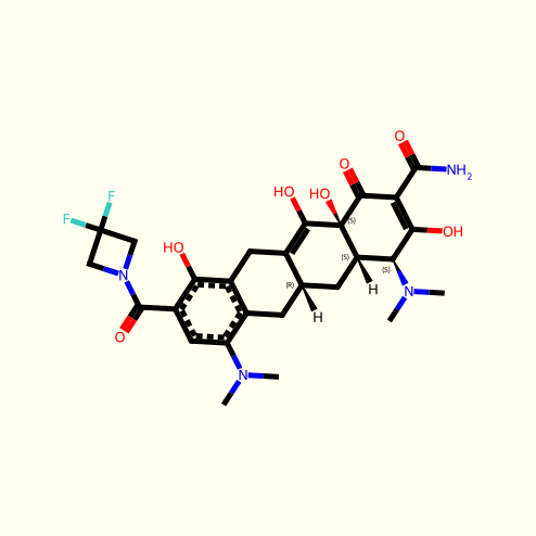 CN(C)c1cc(C(=O)N2CC(F)(F)C2)c(O)c2c1C[C@H]1C[C@H]3[C@H](N(C)C)C(O)=C(C(N)=O)C(=O)[C@@]3(O)C(O)=C1C2